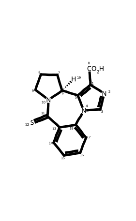 O=C(O)c1ncn2c1[C@@H]1CCCN1C(=S)c1ccccc1-2